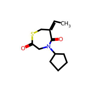 CC=C1CSC(=O)CN(C2CCCC2)C1=O